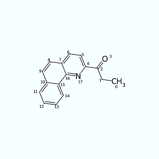 CCC(=O)c1ccc2ccc3ccccc3c2n1